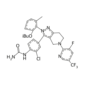 Cc1cccc(OCC(C)C)c1-n1nc2c(c1-c1ccc(NC(N)=O)c(Cl)c1)CN(c1ncc(C(F)(F)F)cc1F)CC2